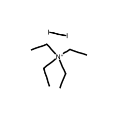 CC[N+](CC)(CC)CC.II